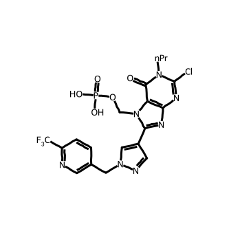 CCCn1c(Cl)nc2nc(-c3cnn(Cc4ccc(C(F)(F)F)nc4)c3)n(COP(=O)(O)O)c2c1=O